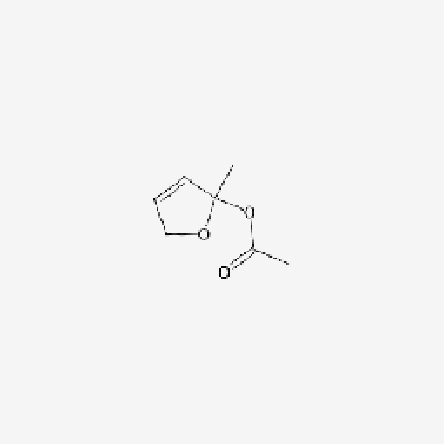 CC(=O)OC1(C)C=CCO1